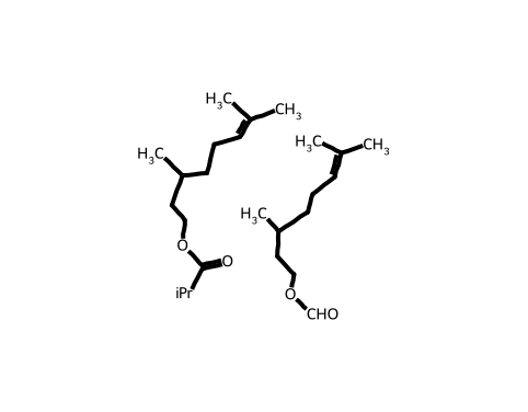 CC(C)=CCCC(C)CCOC(=O)C(C)C.CC(C)=CCCC(C)CCOC=O